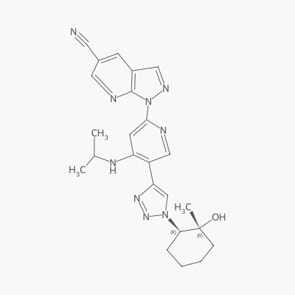 CC(C)Nc1cc(-n2ncc3cc(C#N)cnc32)ncc1-c1cn([C@@H]2CCCC[C@@]2(C)O)nn1